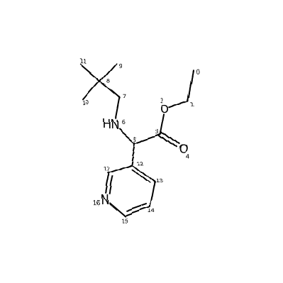 CCOC(=O)C(NCC(C)(C)C)c1cccnc1